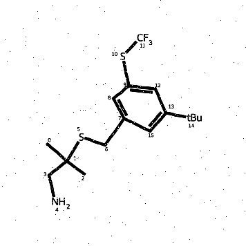 CC(C)(CN)SCc1cc(SC(F)(F)F)cc(C(C)(C)C)c1